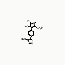 CCCCn1nnnc1-c1ccc(-c2c(C#N)c(CC)n(C)c2C(=O)OCC)cc1